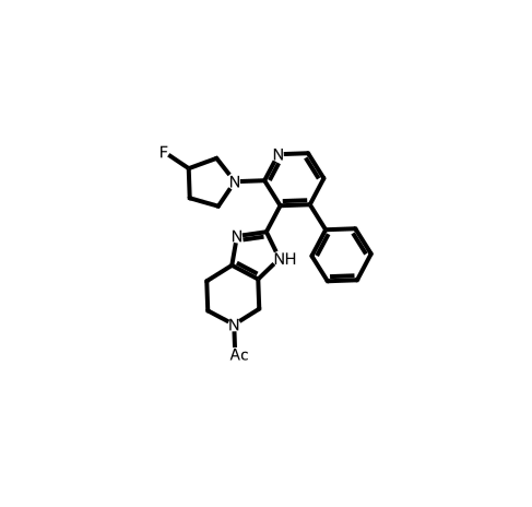 CC(=O)N1CCc2nc(-c3c(-c4ccccc4)ccnc3N3CCC(F)C3)[nH]c2C1